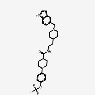 O=C(NCCC1CCN(Cc2ccc3[nH]ccc3c2)CC1)C1CCN(c2ccc(OC(F)(F)F)cc2)CC1